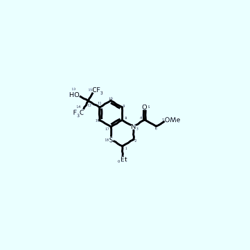 CCC1CN(C(=O)COC)c2ccc(C(O)(C(F)(F)F)C(F)(F)F)cc2S1